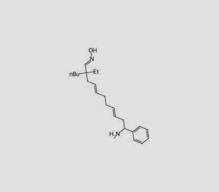 CCCCC(C=NO)(CC)CC=CCCC=CCC(N)c1ccccc1